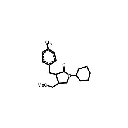 COCC1CN(C2CCCCC2)C(=O)C1Cc1ccc(C(F)(F)F)cc1